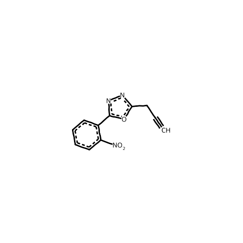 C#CCc1nnc(-c2ccccc2[N+](=O)[O-])o1